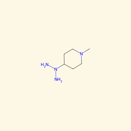 CN1CCC(N(N)N)CC1